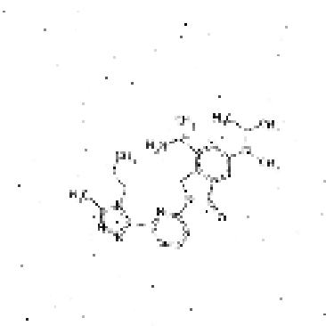 CCCn1c(C)nnc1-c1cccc(N2Cc3c(cc(N(C)C(C)C)nc3[C@@H](C)N)C2=O)n1